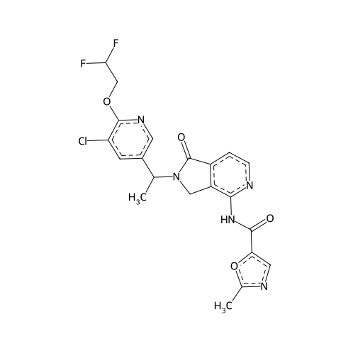 Cc1ncc(C(=O)Nc2nccc3c2CN(C(C)c2cnc(OCC(F)F)c(Cl)c2)C3=O)o1